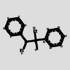 CCC(c1ccccc1)C(C)(CC)c1ccccc1